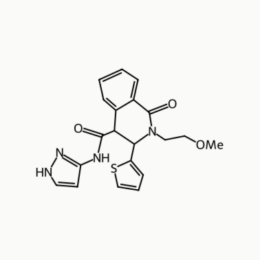 COCCN1C(=O)c2ccccc2C(C(=O)Nc2cc[nH]n2)C1c1cccs1